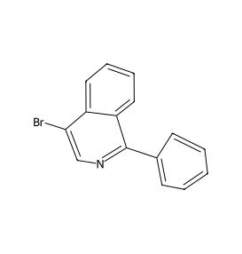 Brc1cnc(-c2ccccc2)c2ccccc12